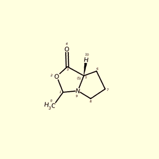 CC1OC(=O)[C@@H]2CCCN12